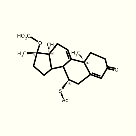 CC(=O)S[C@@H]1CC2=CC(=O)CC[C@]2(C)C2=CC[C@@]3(C)C(CC[C@]3(C)OC(=O)O)C21